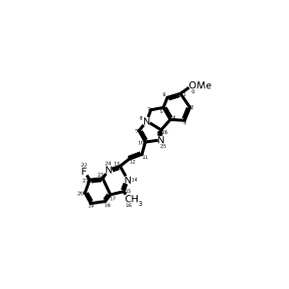 COc1ccc2c(c1)Cn1cc(/C=C/c3nc(C)c4cccc(F)c4n3)nc1-2